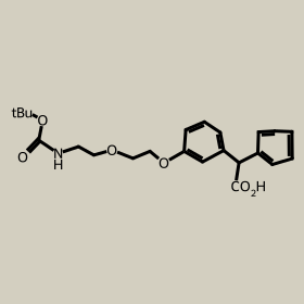 CC(C)(C)OC(=O)NCCOCCOc1cccc(C(C(=O)O)c2ccccc2)c1